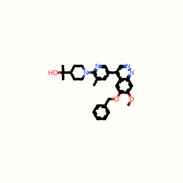 COc1cc2nncc(-c3cnc(N4CCC(C(C)(C)O)CC4)c(C)c3)c2cc1OCc1ccccc1